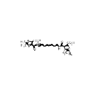 CC1(C)SC(C(=O)O)C(C(=O)NCCCCCCCCNC(=O)C2SC(C)(C)SC2C(=O)O)S1